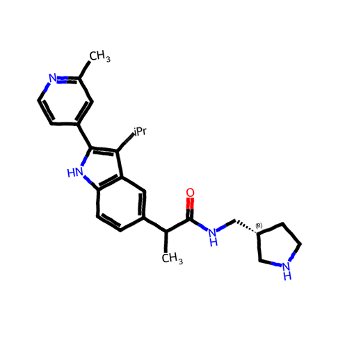 Cc1cc(-c2[nH]c3ccc(C(C)C(=O)NC[C@@H]4CCNC4)cc3c2C(C)C)ccn1